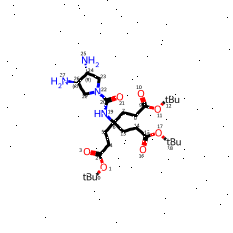 CC(C)(C)OC(=O)CCC(CCC(=O)OC(C)(C)C)(CCC(=O)OC(C)(C)C)NC(=O)N1C[C@@H](N)[C@H](N)C1